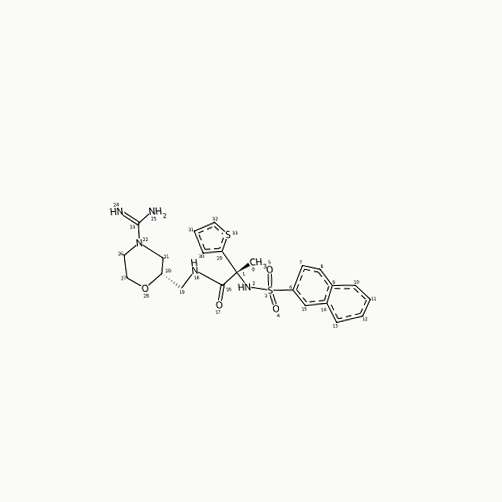 C[C@@](NS(=O)(=O)c1ccc2ccccc2c1)(C(=O)NC[C@H]1CN(C(=N)N)CCO1)c1cccs1